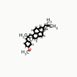 COc1ccc(CC(C)(C)CC2=CCC3=CC=C4C=C(CC(C)(C)C)C=C5C=CC2=C3C45)cc1